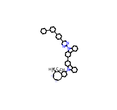 C=C1/C=C\C=C/Cc2ccc(-n3c4ccccc4c4cc(-c5ccc6c(c5)c5ccccc5n6-c5ncc(-c6ccc(-c7cccc(-c8ccccc8)c7)cc6)cn5)ccc43)cc2C1(C)C